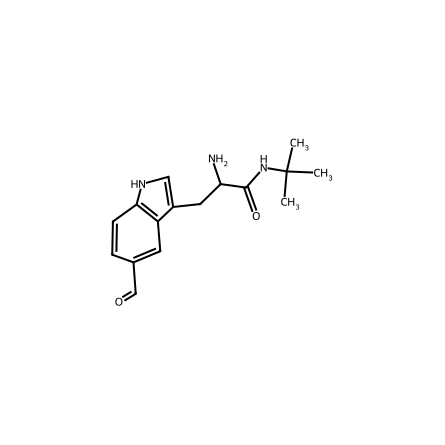 CC(C)(C)NC(=O)C(N)Cc1c[nH]c2ccc(C=O)cc12